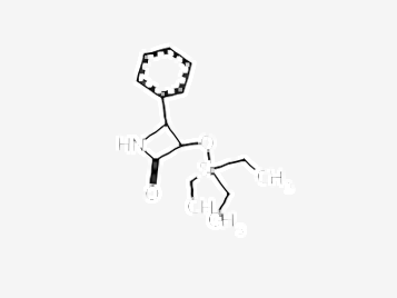 CC[Si](CC)(CC)OC1C(=O)NC1c1ccccc1